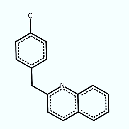 Clc1ccc(Cc2ccc3ccccc3n2)cc1